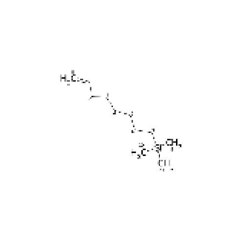 C=CCCCCCC[Si](C)(C)C